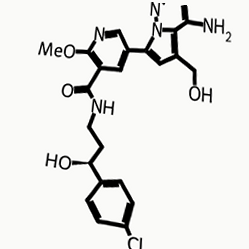 COc1ncc(-c2cc(CO)c3c(N)ncnn23)cc1C(=O)NCC[C@H](O)c1ccc(Cl)cc1